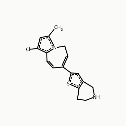 Cc1cc(Cl)c2n1CC=C(c1cc3c(s1)CCNC3)C=C2